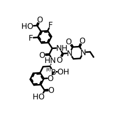 CCN1CCN(C(=O)NC(C(=O)N[C@H]2Cc3cccc(C(=O)O)c3OB2O)c2cc(F)c(C(=O)O)c(F)c2)C(=O)C1=O